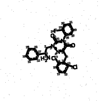 NC(Cn1nc(Cc2c(Cl)cccc2Cl)c(=O)n(-c2ccccc2F)c1=O)c1ccccc1